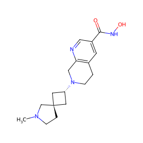 CN1CC[C@]2(C1)C[C@@H](N1CCc3cc(C(=O)NO)cnc3C1)C2